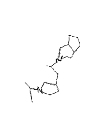 CC(C)N1CCC(CC(C)N2CC3CCCC3C2)C1